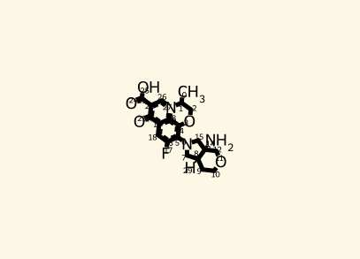 CC1COc2c(N3C[C@@H]4CCOC[C@@]4(N)C3)c(F)cc3c(=O)c(C(=O)O)cn1c23